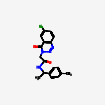 Cc1ccc(C(C)NC(=O)Cn2nnc3ccc(Cl)cc3c2=O)cc1